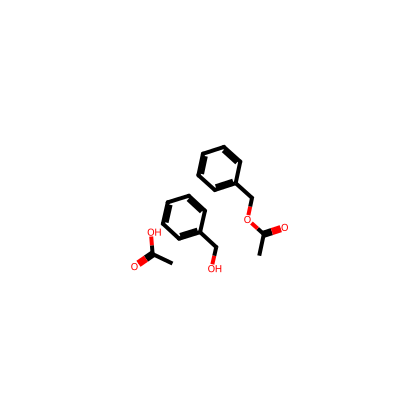 CC(=O)O.CC(=O)OCc1ccccc1.OCc1ccccc1